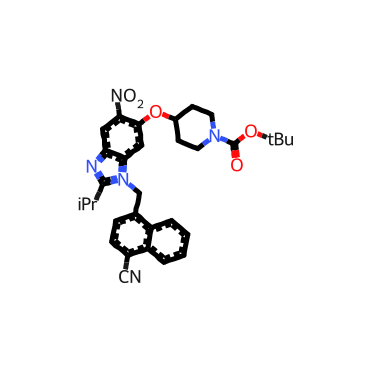 CC(C)c1nc2cc([N+](=O)[O-])c(OC3CCN(C(=O)OC(C)(C)C)CC3)cc2n1Cc1ccc(C#N)c2ccccc12